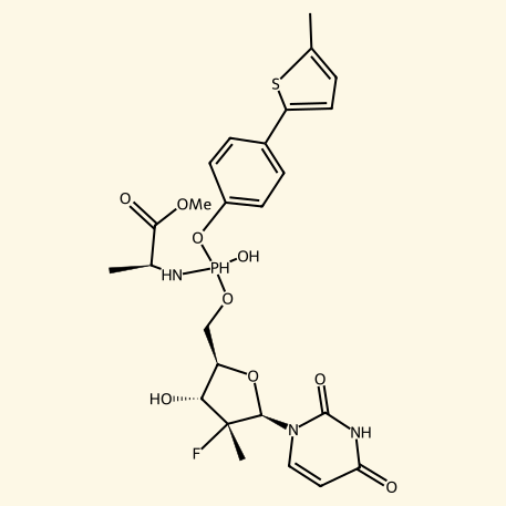 COC(=O)[C@H](C)N[PH](O)(OC[C@H]1O[C@@H](n2ccc(=O)[nH]c2=O)[C@](C)(F)[C@@H]1O)Oc1ccc(-c2ccc(C)s2)cc1